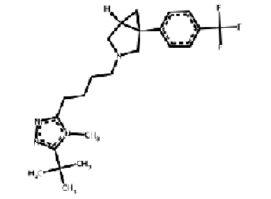 Cn1c(CCCCN2C[C@@H]3C[C@]3(c3ccc(C(F)(F)F)cc3)C2)nnc1C(C)(C)C